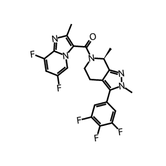 Cc1nc2c(F)cc(F)cn2c1C(=O)N1CCc2c(nn(C)c2-c2cc(F)c(F)c(F)c2)[C@@H]1C